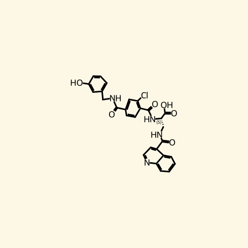 O=C(NCc1cccc(O)c1)c1ccc(C(=O)N[C@@H](CNC(=O)c2ccnc3ccccc23)C(=O)O)c(Cl)c1